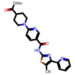 COC(=O)C1CCN(c2ccc(C(=O)Nc3nc(-c4ccccn4)c(C#N)s3)cn2)CC1